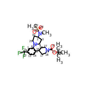 CN(C1CCN(c2cc(C(F)(F)F)ccc2C2CCN(C(=O)OC(C)(C)C)CC2)CC1)S(C)(=O)=O